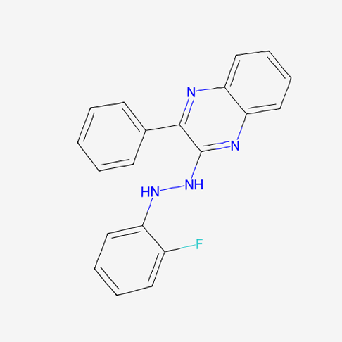 Fc1ccccc1NNc1nc2ccccc2nc1-c1ccccc1